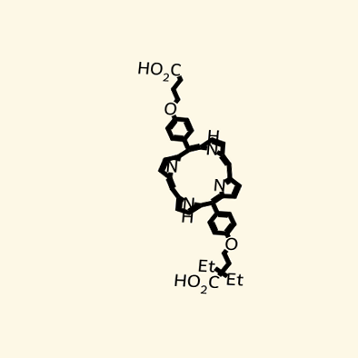 CCC(CC)(CCOc1ccc(-c2c3nc(cc4ccc([nH]4)c(-c4ccc(OCCCC(=O)O)cc4)c4nc(cc5ccc2[nH]5)C=C4)C=C3)cc1)C(=O)O